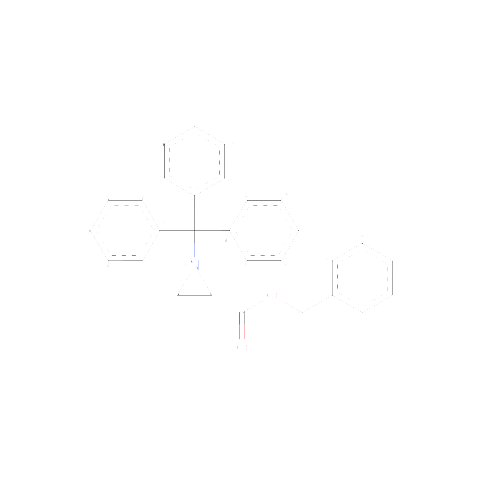 O=C(OCc1ccccc1)[C@@H]1CN1C(c1ccccc1)(c1ccccc1)c1ccccc1